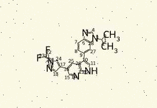 CC(C)n1cnc2ccc(-c3c[nH]c4ncc(-c5cnn(C(F)F)c5)cc34)cc21